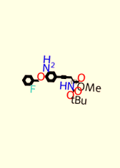 COC(=O)[C@H](CC#Cc1ccc(OCc2ccccc2F)c(N)c1)NC(=O)OC(C)(C)C